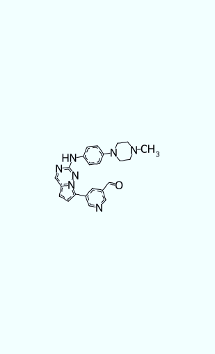 CN1CCN(c2ccc(Nc3ncc4ccc(-c5cncc(C=O)c5)n4n3)cc2)CC1